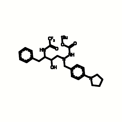 CC(C)(C)OC(=O)NN(Cc1ccc(N2CCCC2)cc1)CC(O)C(Cc1ccccc1)NC(=O)C(F)(F)F